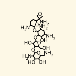 NCC1OC(OC2C(CO)OC(OC3C(O)C(N)CC(N)C3OC3OC(C4(N)COC4)CCC3N)C2O)C(N)C(O)C1O